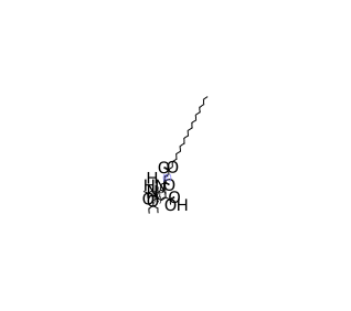 CCCCCCCCCCCCCCCCCCOC(=O)/C=C/C(=O)N[C@H]1CC(C(=O)O)=C[C@@H](OC(CC)CC)[C@H]1NC(C)=O